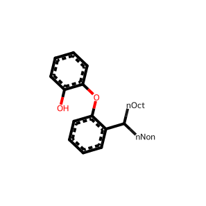 CCCCCCCCCC(CCCCCCCC)c1ccccc1Oc1ccccc1O